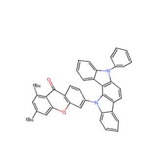 CC(C)(C)c1cc(C(C)(C)C)c2c(=O)c3ccc(-n4c5ccccc5c5ccc6c(c7ccccc7n6-c6ccccc6)c54)cc3oc2c1